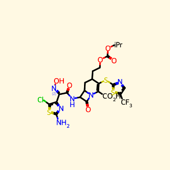 CC(C)OC(=O)OCCC1CC2C(NC(=O)/C(=N\O)c3nc(N)sc3Cl)C(=O)N2C(C(=O)O)=C1Sc1ncc(C(F)(F)F)s1